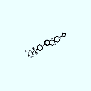 CC(C)S(=O)(=O)C1CCN(c2ccc3c(c2)COC2(CCN(C4CCC4)CC2)O3)CC1